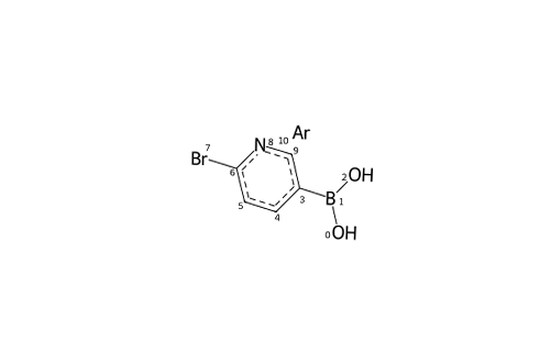 OB(O)c1ccc(Br)nc1.[Ar]